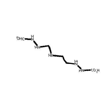 O=CNNCBCCNNC(=O)O